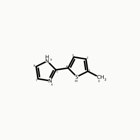 Cc1ccc(-c2ncc[nH]2)s1